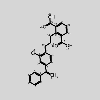 C=C(c1ccccc1)c1ccc(CCCc2c(C(=O)O)cccc2C(=O)O)c(Cl)c1